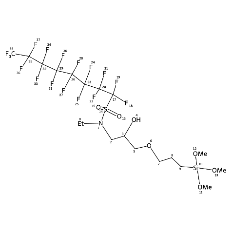 CCN(CC(O)COCCC[Si](OC)(OC)OC)S(=O)(=O)C(F)(F)C(F)(F)C(F)(F)C(F)(F)C(F)(F)C(F)(F)C(F)(F)C(F)(F)F